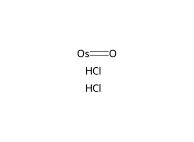 Cl.Cl.[O]=[Os]